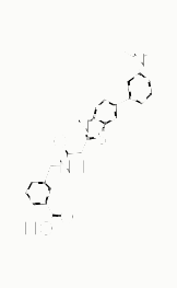 CN(C)c1cccc(-c2ccc3nc(CC(=O)NCc4cccc(C(=O)O)c4)sc3c2)c1